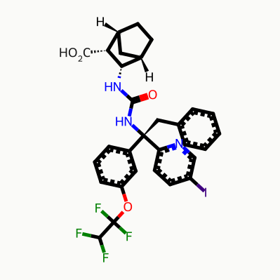 O=C(N[C@H]1[C@H]2CC[C@H](C2)[C@H]1C(=O)O)N[C@@](Cc1ccccc1)(c1cccc(OC(F)(F)C(F)F)c1)c1ccc(I)cn1